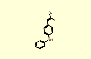 CC(C#N)=Cc1ccc(Nc2ccccc2)cc1